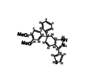 COc1ccc(C2(c3ccccc3)C=Cc3c(-c4ccsc4)n[nH]c3C2)cc1OC